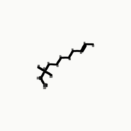 CC=CCCCCC[Si](C)(C)OCC